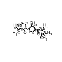 CC1=C2C(=O)N(c3ccc(B4OC(C)(C)C(C)(C)O4)cc3C)CCN2NC1